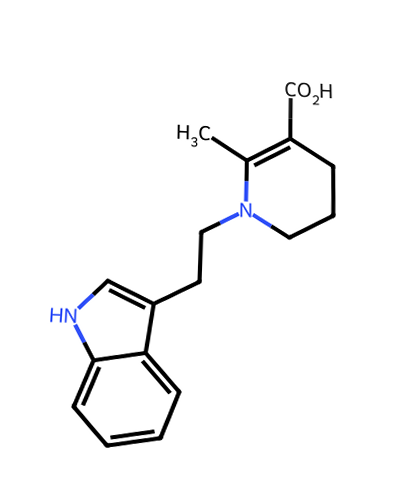 CC1=C(C(=O)O)CCCN1CCc1c[nH]c2ccccc12